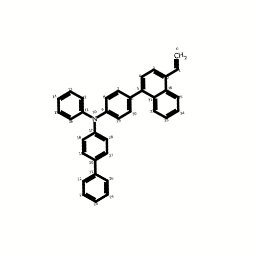 C=Cc1ccc(-c2ccc(N(c3ccccc3)c3ccc(-c4ccccc4)cc3)cc2)c2ccccc12